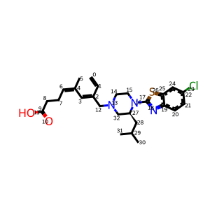 C=C/C(=C\C(C)=C/CCC(=O)O)CN1CCN(c2nc3ccc(Cl)cc3s2)[C@@H](CC(C)C)C1